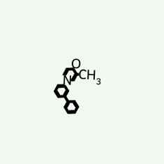 Cc1cn(-c2cccc(-c3ccccc3)c2)ccc1=O